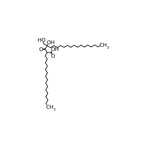 CCCCCCCCCCCCCCCCC(C(=O)O)C(=O)C(O)(CO)CCCCCCCCCCCCCCCC